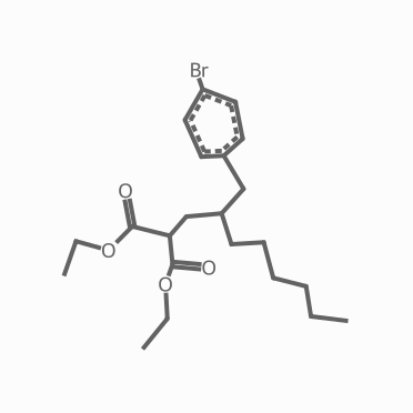 CCCCCCC(Cc1ccc(Br)cc1)CC(C(=O)OCC)C(=O)OCC